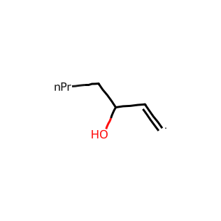 [CH]=CC(O)CCC[CH2]